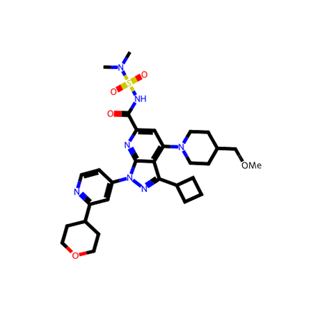 COCC1CCN(c2cc(C(=O)NS(=O)(=O)N(C)C)nc3c2c(C2CCC2)nn3-c2ccnc(C3CCOCC3)c2)CC1